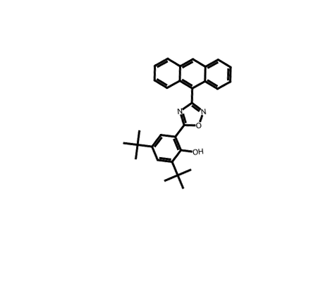 CC(C)(C)c1cc(-c2nc(-c3c4ccccc4cc4ccccc34)no2)c(O)c(C(C)(C)C)c1